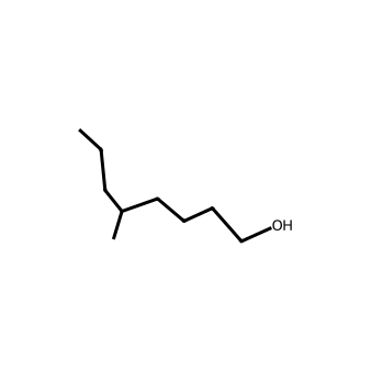 CCCC(C)CCCCO